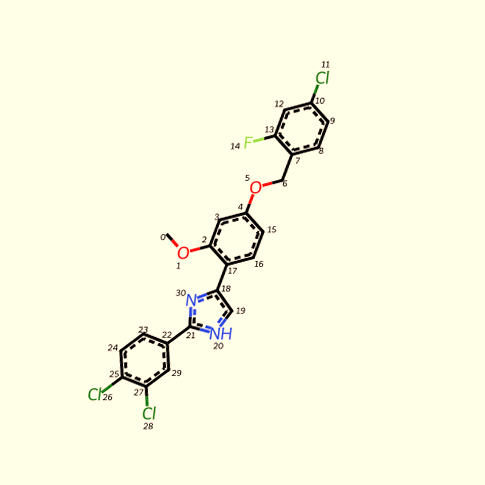 COc1cc(OCc2ccc(Cl)cc2F)ccc1-c1c[nH]c(-c2ccc(Cl)c(Cl)c2)n1